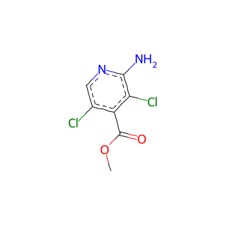 COC(=O)c1c(Cl)cnc(N)c1Cl